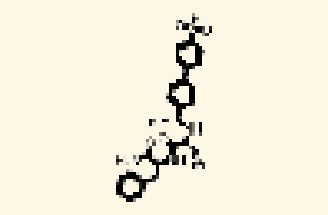 CC(C)C[C@H](N[C@@H](c1ccc(-c2ccc(S(C)(=O)=O)cc2)cc1)C(F)(F)F)C(=O)N[C@@H](Cc1ccccc1)C(N)=O